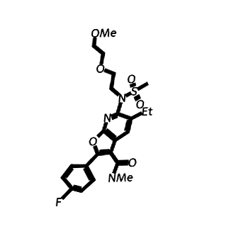 CCc1cc2c(C(=O)NC)c(-c3ccc(F)cc3)oc2nc1N(CCOCCOC)S(C)(=O)=O